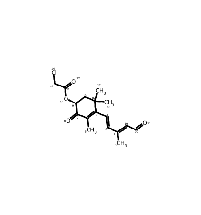 CC(C=CC1=C(C)C(=O)[C@@H](OC(=O)CCl)CC1(C)C)=CC=O